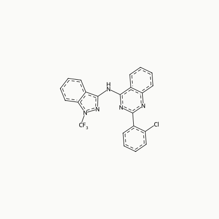 FC(F)(F)n1nc(Nc2nc(-c3ccccc3Cl)nc3ccccc23)c2ccccc21